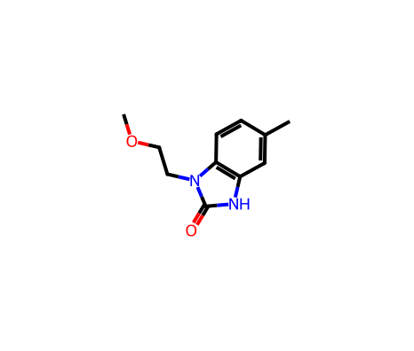 COCCn1c(=O)[nH]c2cc(C)ccc21